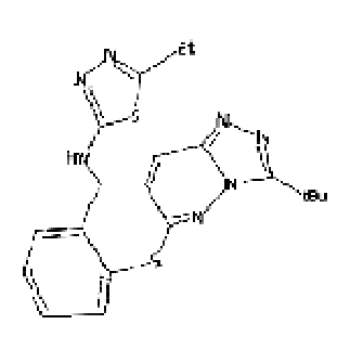 CCc1nnc(NCc2ccccc2Sc2ccc3nnc(C(C)(C)C)n3n2)s1